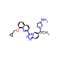 C[C@@H](c1ccc2nnc(-c3ccc4cccc(OCC5CC5)c4n3)n2c1)N1CC[C@H](N)C1